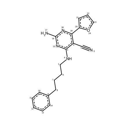 N#Cc1c(NCCCCc2ccccc2)nc(N)nc1-c1ccco1